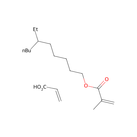 C=C(C)C(=O)OCCCCCC(CC)CCCC.C=CC(=O)O